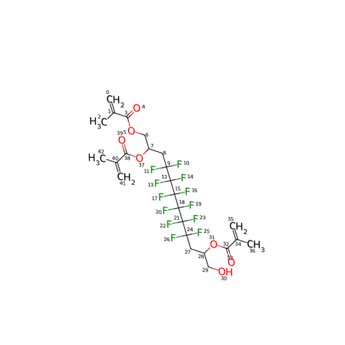 C=C(C)C(=O)OCC(CC(F)(F)C(F)(F)C(F)(F)C(F)(F)C(F)(F)C(F)(F)CC(CO)OC(=O)C(=C)C)OC(=O)C(=C)C